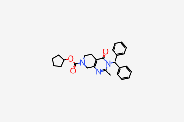 Cc1nc2c(c(=O)n1C(c1ccccc1)c1ccccc1)CCN(C(=O)OC1CCCC1)C2